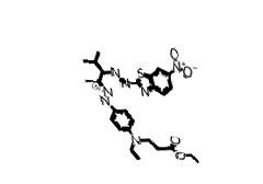 CCOC(=O)CCN(CC)c1ccc(N=N[C@@H](C)C(N=Nc2nc3ccc([N+](=O)[O-])cc3s2)C(C)C)cc1